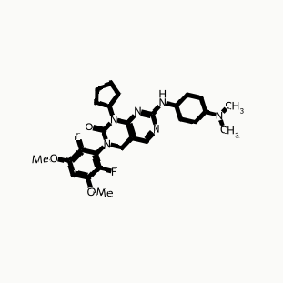 COc1cc(OC)c(F)c(N2Cc3cnc(NC4CCC(N(C)C)CC4)nc3N(C3CCCC3)C2=O)c1F